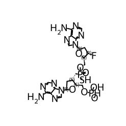 Nc1ncnc2c1ncn2[C@H]1C[C@H](CP(=O)(S)OC[C@H]2O[C@@H](n3cnc4c(N)ncnc43)C[C@H]2F)[C@@H](CO[PH](=O)O)O1